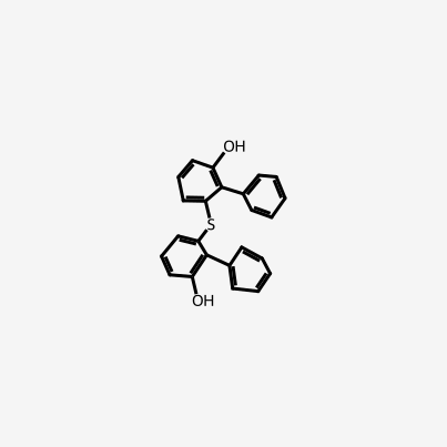 Oc1cccc(Sc2cccc(O)c2-c2ccccc2)c1-c1ccccc1